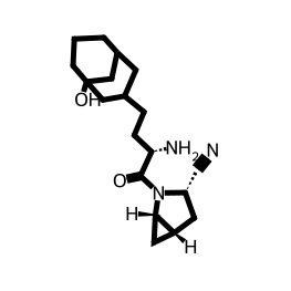 N#C[C@@H]1C[C@@H]2C[C@@H]2N1C(=O)[C@@H](N)CCC1CC2CCCC(O)(C2)C1